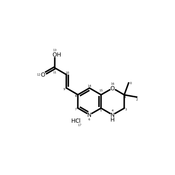 CC1(C)CNc2ncc(C=CC(=O)O)cc2O1.Cl